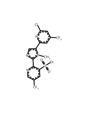 CCS(=O)(=O)c1cc(C(F)(F)F)cnc1-c1ncc(-c2cc(C(F)(F)F)cc(Cl)n2)n1C